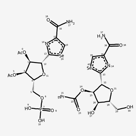 CC(=O)O[C@@H]1[C@H](OC(C)=O)[C@@H](COP(=O)(O)O)O[C@H]1c1nc(C(N)=O)c[se]1.CCCC(=O)O[C@@H]1[C@H](O)[C@@H](CO)O[C@H]1c1nc(C(N)=O)c[se]1